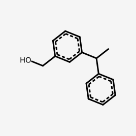 CC(c1ccccc1)c1cccc(CO)c1